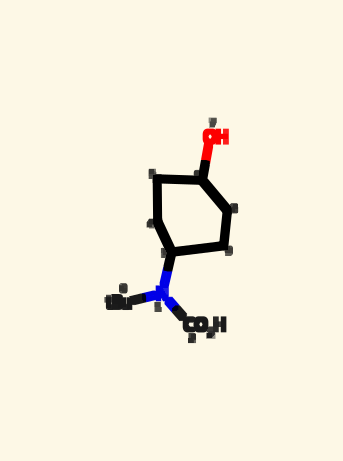 CC(C)(C)N(C(=O)O)C1CCC(O)CC1